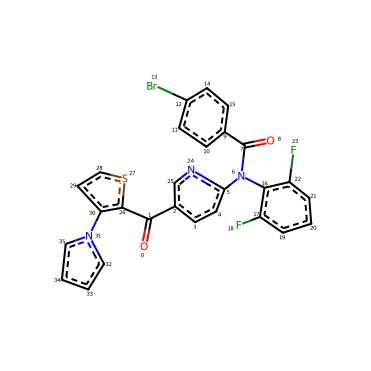 O=C(c1ccc(N(C(=O)c2ccc(Br)cc2)c2c(F)cccc2F)nc1)c1sccc1-n1cccc1